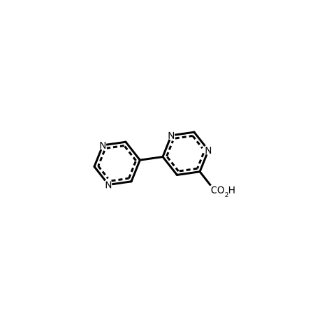 O=C(O)c1cc(-c2cncnc2)ncn1